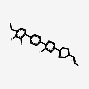 C/C=C/C1CC=C(c2ccc(-c3ccc(-c4ccc(CC)c(F)c4F)cc3)c(F)c2)CC1